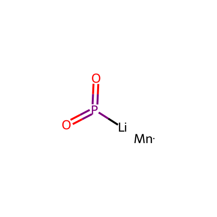 [Li][P](=O)=O.[Mn]